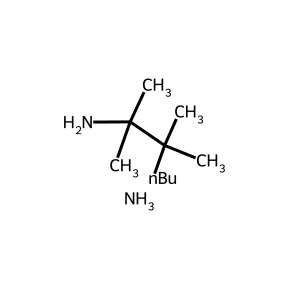 CCCCC(C)(C)C(C)(C)N.N